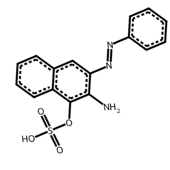 Nc1c(N=Nc2ccccc2)cc2ccccc2c1OS(=O)(=O)O